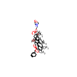 CC1(C)[C@@H](C(=O)OCCN2CCOCC2)CC[C@]2(C)[C@H]3C(=O)C=C4[C@@H]5C[C@@](C)(C(=O)OCc6ccccc6)CC[C@]5(C)CC[C@@]4(C)[C@]3(C)CC[C@@H]12